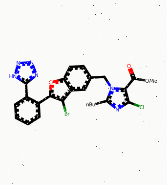 CCCCc1nc(Cl)c(C(=O)OC)n1Cc1ccc2oc(-c3ccccc3-c3nnn[nH]3)c(Br)c2c1